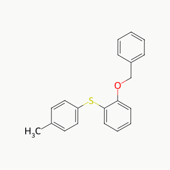 Cc1ccc(Sc2ccccc2OCc2ccccc2)cc1